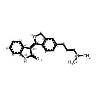 CN(C)CCCc1ccc2c(c1)CO/C2=C1/C(=O)Nc2ccccc21